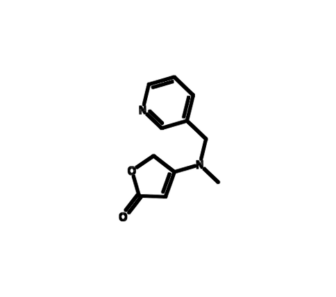 CN(Cc1cccnc1)C1=CC(=O)OC1